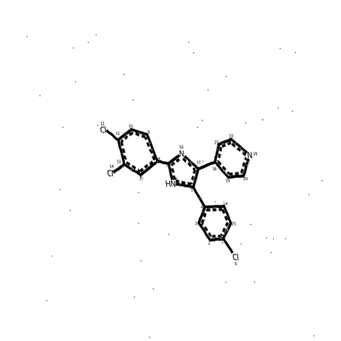 Clc1ccc(-c2[nH]c(-c3ccc(Cl)c(Cl)c3)nc2-c2ccncc2)cc1